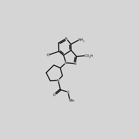 CC(C)(C)OC(=O)N1CCCC(n2nc(C(=O)O)c3c(N)ncc(Cl)c32)C1